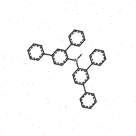 CN(c1ccc(-c2ccccc2)cc1-c1ccccc1)c1ccc(-c2ccccc2)cc1-c1ccccc1